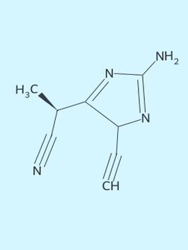 C#CC1N=C(N)N=C1[C@H](C)C#N